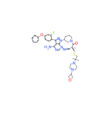 CC(C)(CS/C=C(\C#N)C(=O)N1CCCC(n2nc(-c3ccc(Oc4ccccc4)cc3F)c3c(N)ncnc32)C1)N1CCN(C2COC2)CC1